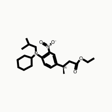 CCOC(=O)C[C@@H](C)c1ccc(N(CC(C)C)C2CCCCC2)c([N+](=O)[O-])c1